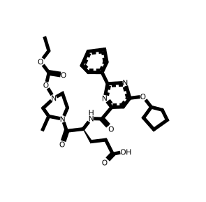 CCOC(=O)ON1CCN(C(=O)[C@H](CCC(=O)O)NC(=O)c2cc(OC3CCCC3)nc(-c3ccccc3)n2)C(C)C1